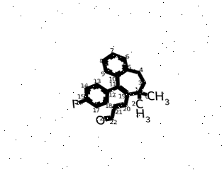 CC1(C)CCc2ccccc2C(c2ccc(F)cc2)=C1C=CC=O